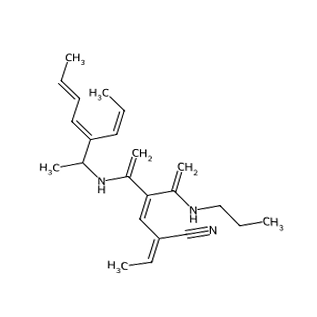 C=C(NCCC)/C(=C\C(C#N)=C/C)C(=C)NC(C)C(/C=C\C)=C/C=C/C